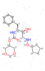 O=C(N[C@@H](Cc1ccccc1)[C@@H](O)CNOC1CCCC1)OC1COCOC1